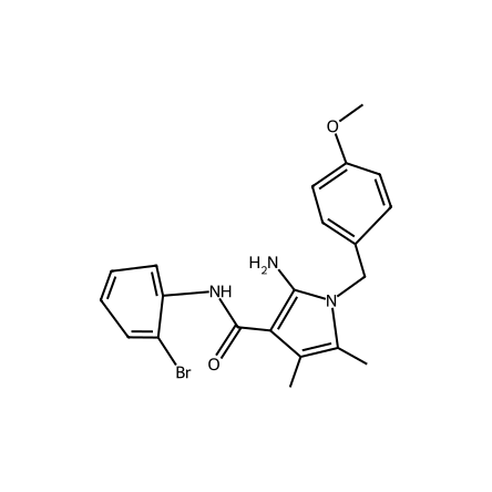 COc1ccc(Cn2c(C)c(C)c(C(=O)Nc3ccccc3Br)c2N)cc1